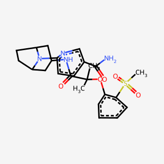 CC(C)(Oc1ccccc1S(C)(=O)=O)C(=O)NC1CC2CCC(C1)N2c1ccc(C(N)=O)cn1